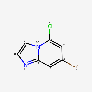 Clc1cc(Br)cc2nccn12